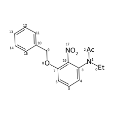 CCN(C(C)=O)c1cccc(OCc2ccccc2)c1[N+](=O)[O-]